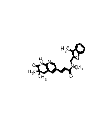 Cc1c(CN(C)C(=O)/C=C/c2cnc3c(c2)CC(C)(C)C(=O)N3)oc2ccccc12